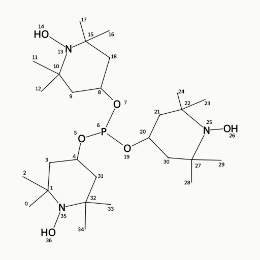 CC1(C)CC(OP(OC2CC(C)(C)N(O)C(C)(C)C2)OC2CC(C)(C)N(O)C(C)(C)C2)CC(C)(C)N1O